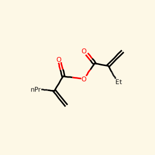 C=C(CC)C(=O)OC(=O)C(=C)CCC